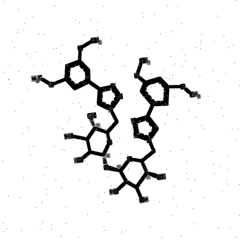 COc1cc(OC)cc(-c2cn(CC3O[C@H](O[C@H]4OC(Cn5cc(-c6cc(OC)cc(OC)c6)nn5)[C@@H](O)C(O)C4O)C(O)C(O)[C@@H]3O)nn2)c1